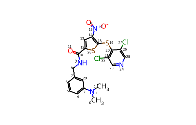 CN(C)c1cccc(CNC(=O)c2cc([N+](=O)[O-])c(Sc3c(Cl)cncc3Cl)s2)c1